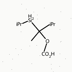 CC(C)[SiH2]C(C)(OC(=O)O)C(C)C